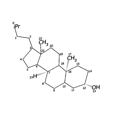 CC(C)CCC1CCC2[C@@H]3CCC4C[C@@H](O)CC[C@]4(C)C3CCC12C